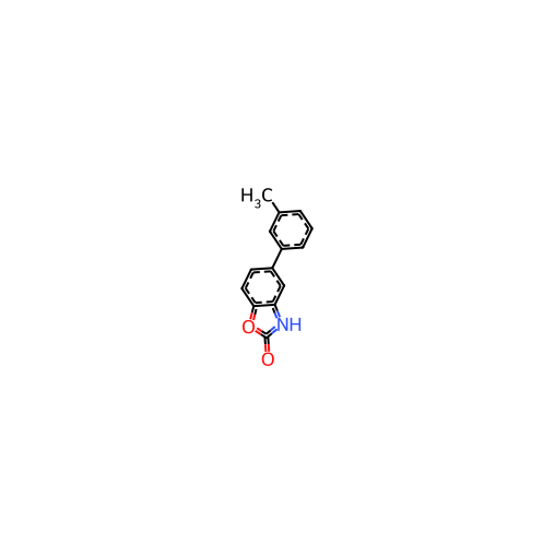 Cc1cccc(-c2ccc3oc(=O)[nH]c3c2)c1